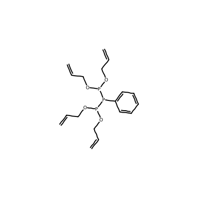 C=CCOP(OCC=C)P(c1ccccc1)P(OCC=C)OCC=C